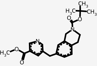 COC(=O)c1cncc(Cc2ccc3c(c2)CN(C(=O)OC(C)(C)C)CC3)c1